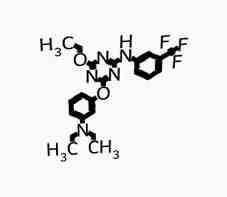 CCOc1nc(Nc2cccc(C(F)(F)F)c2)nc(Oc2cccc(N(CC)CC)c2)n1